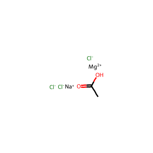 CC(=O)O.[Cl-].[Cl-].[Cl-].[Mg+2].[Na+]